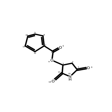 O=C1CC(OC(=O)c2ccccc2)C(=O)N1